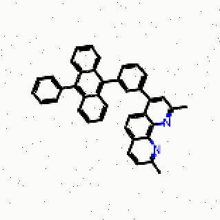 Cc1ccc2ccc3c(-c4cccc(-c5c6ccccc6c(-c6ccccc6)c6ccccc56)c4)cc(C)nc3c2n1